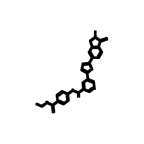 CCOC(=O)c1ccc(SNc2cncc(-c3ccc(-c4ccc5c(c4)CN(C)C5=O)s3)c2)cc1